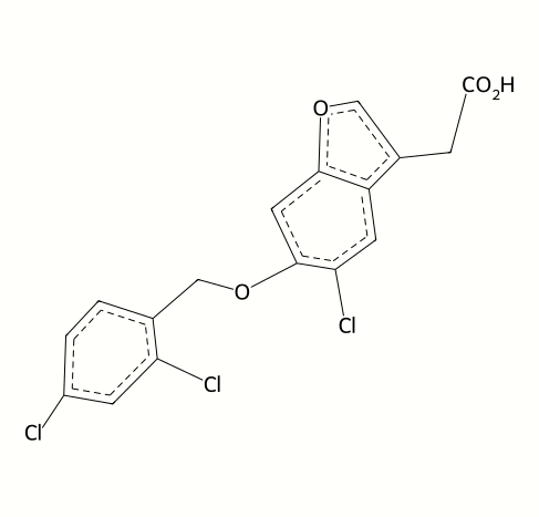 O=C(O)Cc1coc2cc(OCc3ccc(Cl)cc3Cl)c(Cl)cc12